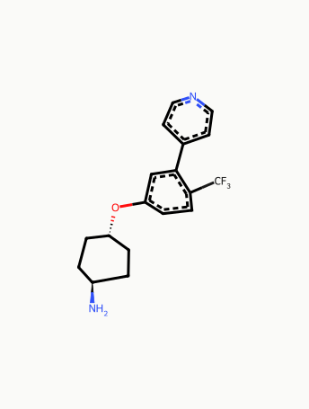 N[C@H]1CC[C@H](Oc2ccc(C(F)(F)F)c(-c3ccncc3)c2)CC1